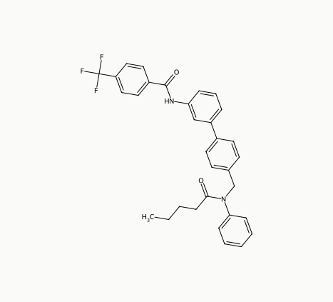 CCCCC(=O)N(Cc1ccc(-c2cccc(NC(=O)c3ccc(C(F)(F)F)cc3)c2)cc1)c1ccccc1